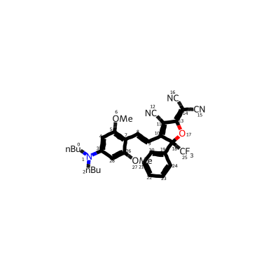 CCCCN(CCCC)c1cc(OC)c(C=CC2=C(C#N)C(=C(C#N)C#N)OC2(c2ccccc2)C(F)(F)F)c(OC)c1